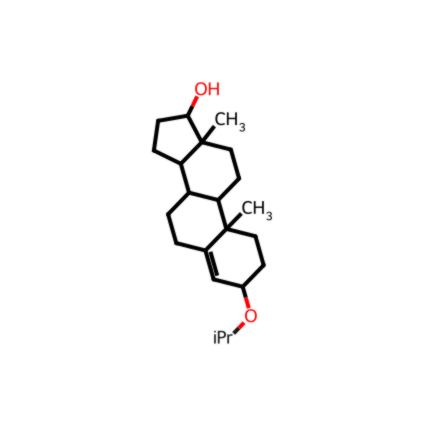 CC(C)OC1C=C2CCC3C(CCC4(C)C(O)CCC34)C2(C)CC1